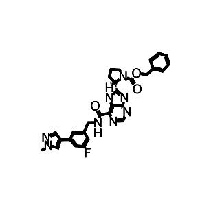 Cn1cc(-c2cc(F)cc(CNC(=O)c3ncnc4nc([C@@H]5CCCN5C(=O)OCc5ccccc5)[nH]c34)c2)cn1